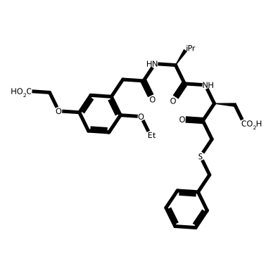 CCOc1ccc(OCC(=O)O)cc1CC(=O)N[C@H](C(=O)N[C@@H](CC(=O)O)C(=O)CSCc1ccccc1)C(C)C